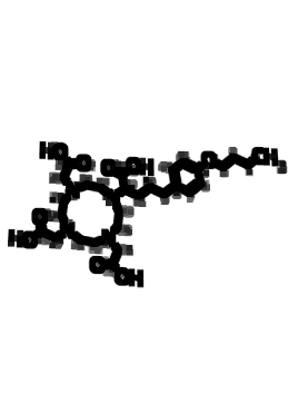 CCCCOc1ccc(CCCC(C(=O)O)N2CCN(CC(=O)O)CCN(CC(=O)O)CCN(CC(=O)O)CC2)cc1